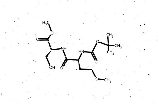 COC(=O)[C@H](CO)NC(=O)[C@H](CCSC)NC(=O)OC(C)(C)C